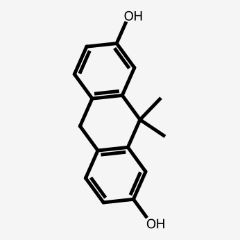 CC1(C)c2cc(O)ccc2Cc2ccc(O)cc21